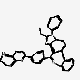 CCc1nc2c3c(-c4ccc(-c5ccc6ncccc6n5)cc4)nc4ccccc4c3ccc2n1-c1ccccc1